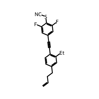 C=CCCc1ccc(C#Cc2cc(F)c(SC#N)c(F)c2)c(CC)c1